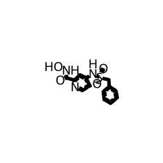 O=C(NO)c1cc(NS(=O)(=O)Cc2ccccc2)ccn1